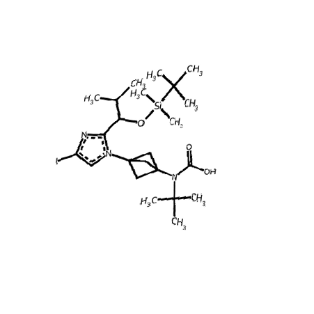 CC(C)C(O[Si](C)(C)C(C)(C)C)c1nc(I)cn1C12CC(N(C(=O)O)C(C)(C)C)(C1)C2